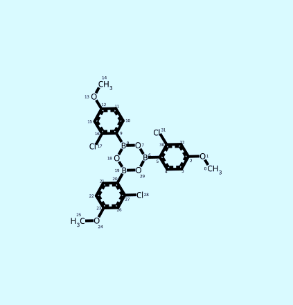 COc1ccc(B2OB(c3ccc(OC)cc3Cl)OB(c3ccc(OC)cc3Cl)O2)c(Cl)c1